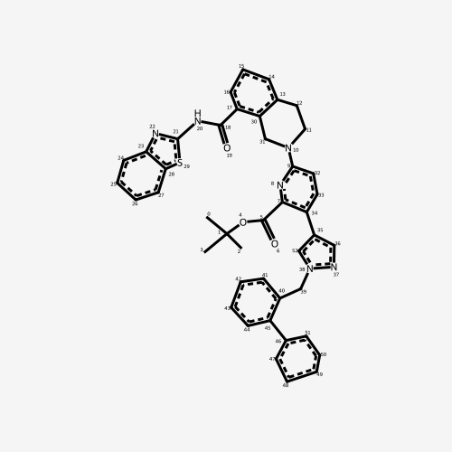 CC(C)(C)OC(=O)c1nc(N2CCc3cccc(C(=O)Nc4nc5ccccc5s4)c3C2)ccc1-c1cnn(Cc2ccccc2-c2ccccc2)c1